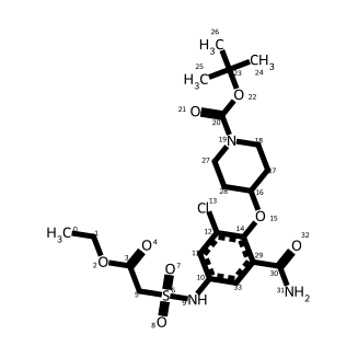 CCOC(=O)CS(=O)(=O)Nc1cc(Cl)c(OC2CCN(C(=O)OC(C)(C)C)CC2)c(C(N)=O)c1